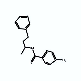 CC(CCc1ccccc1)NC(=O)c1ccc(N)cc1